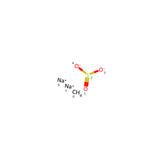 C.O=S([O-])[O-].[Na+].[Na+]